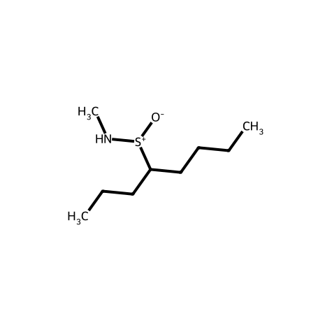 CCCCC(CCC)[S+]([O-])NC